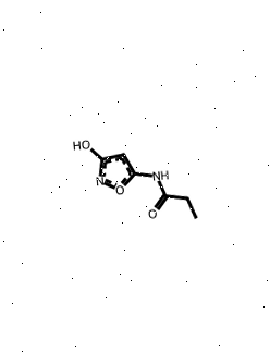 CCC(=O)Nc1cc(O)no1